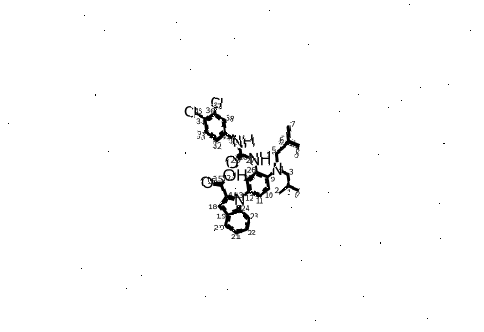 CC(C)CN(CC(C)C)c1ccc(-n2c(C(=O)O)cc3ccccc32)cc1NC(=O)Nc1ccc(Cl)c(Cl)c1